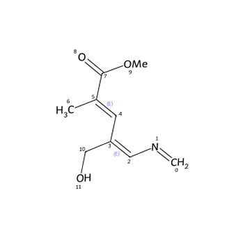 C=N/C=C(\C=C(/C)C(=O)OC)CO